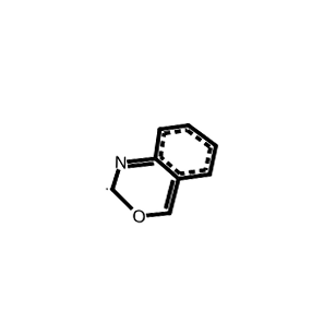 [CH]1N=c2ccccc2=CO1